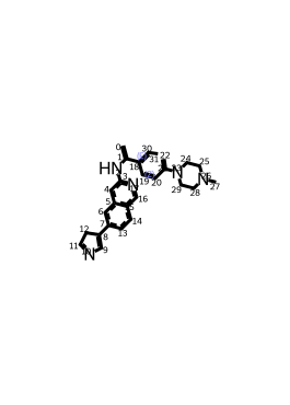 C=C(Nc1cc2cc(C3=CN=CC3)ccc2cn1)C(/C=C\C(=C)N1CCN(C)CC1)=C/C